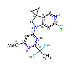 COc1cc(N2CC3(CC3)c3cnc(Cl)cc32)nc(C(C)(F)F)n1